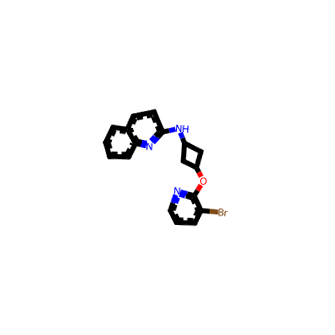 Brc1cccnc1OC1CC(Nc2ccc3ccccc3n2)C1